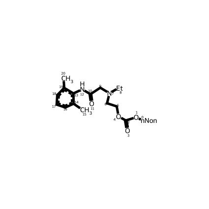 CCCCCCCCCOC(=O)OCCN(CC)CC(=O)Nc1c(C)cccc1C